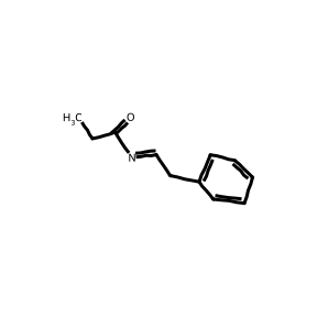 CCC(=O)N=CCc1ccccc1